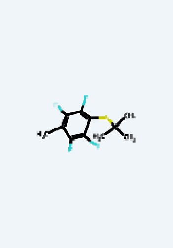 Cc1c(F)c(F)c(SC(C)(C)C)c(F)c1F